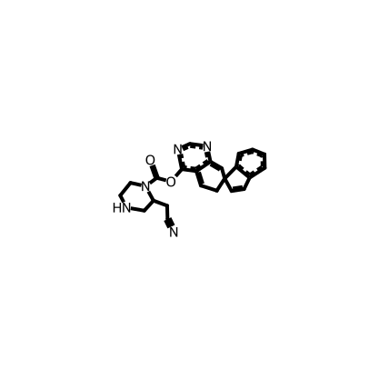 N#CCC1CNCCN1C(=O)Oc1ncnc2c1=CCC1(C=Cc3ccccc31)C=2